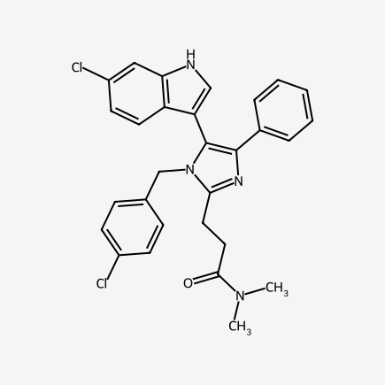 CN(C)C(=O)CCc1nc(-c2ccccc2)c(-c2c[nH]c3cc(Cl)ccc23)n1Cc1ccc(Cl)cc1